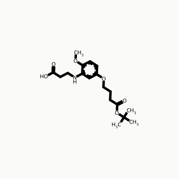 COc1ccc(OCCCC(=O)OC(C)(C)C)cc1NCCC(=O)O